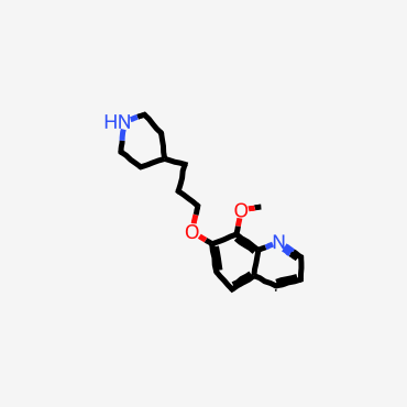 COc1c(OCCCC2CCNCC2)ccc2[c]ccnc12